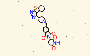 O=C1CCC(N2C(=O)c3ccc(CN4CCC(c5ncnc6sc7c(c56)CCCC7)CC4)cc3C2=O)C(=O)N1